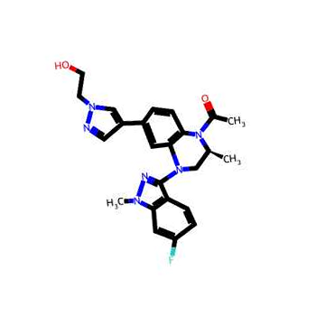 CC(=O)N1c2ccc(-c3cnn(CCO)c3)cc2N(c2nn(C)c3cc(F)ccc23)C[C@@H]1C